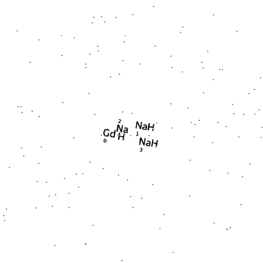 [Gd].[NaH].[NaH].[NaH]